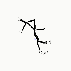 CCOC(=O)/C(C#N)=C/C1(C)CC1(Cl)Cl